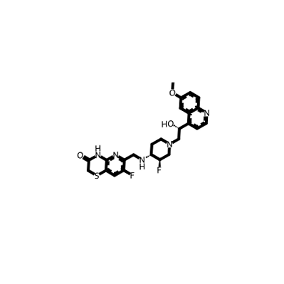 COc1ccc2nccc([C@@H](O)CN3CC[C@@H](NCc4nc5c(cc4F)SCC(=O)N5)[C@H](F)C3)c2c1